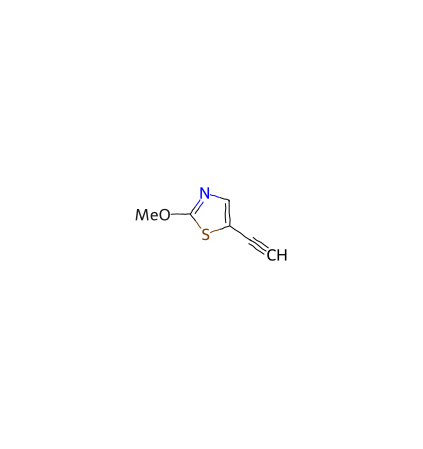 C#Cc1cnc(OC)s1